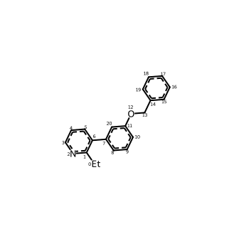 CCc1ncccc1-c1cccc(OCc2ccccc2)c1